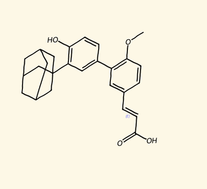 COc1ccc(/C=C/C(=O)O)cc1-c1ccc(O)c(C23CC4CC(CC(C4)C2)C3)c1